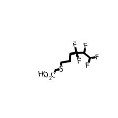 O=C(O)CSCCCC(F)(F)C(F)C(F)F